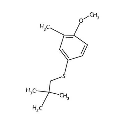 COc1ccc(SCC(C)(C)C)cc1C